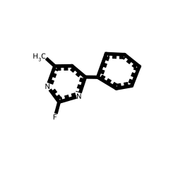 Cc1cc(-c2ccccc2)nc(F)n1